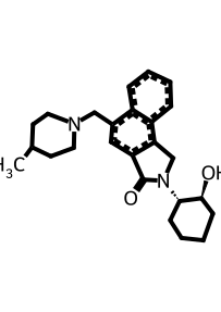 CC1CCN(Cc2cc3c(c4ccccc24)CN([C@H]2CCCC[C@@H]2O)C3=O)CC1